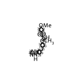 COc1ccc(S(=O)(=O)CNC(C)Oc2ccc(Cc3ccc(NC4=NCCN4)cc3)cc2)cc1